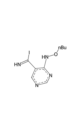 CCCCONc1ncncc1C(=N)I